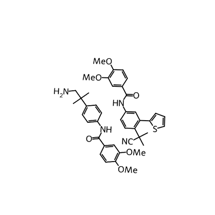 COc1ccc(C(=O)Nc2ccc(C(C)(C)C#N)c(-c3cccs3)c2)cc1OC.COc1ccc(C(=O)Nc2ccc(C(C)(C)CN)cc2)cc1OC